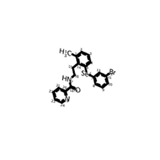 Cc1cccc([Se]c2cccc(Br)c2)c1CCNC(=O)c1ccccn1